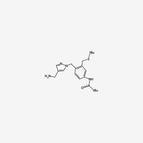 CC(C)(C)SCc1cc(NC(=O)C(C)(C)C)ccc1Cn1cc(CN)cn1